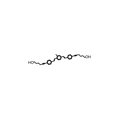 Cc1cc(/C=C/c2ccc(C#CCCCCO)cc2)ccc1/C=C/c1ccc(C#CCCCCO)cc1